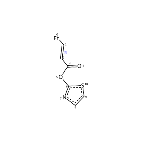 CC/C=C/C(=O)Oc1nccs1